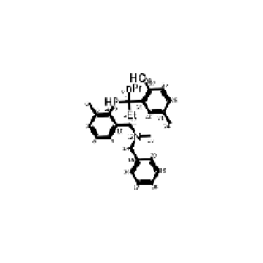 CCCC(CC)(Pc1c(C)cccc1CN(C)Cc1ccccc1)c1cc(C)ccc1O